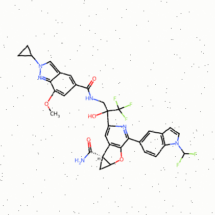 COc1cc(C(=O)NCC(O)(c2cc3c(c(-c4ccc5c(ccn5C(F)F)c4)n2)OC2C[C@@]32C(N)=O)C(F)(F)F)cc2cn(C3CC3)nc12